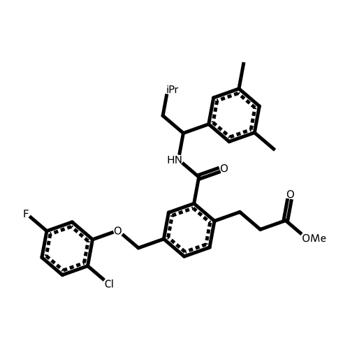 COC(=O)CCc1ccc(COc2cc(F)ccc2Cl)cc1C(=O)NC(CC(C)C)c1cc(C)cc(C)c1